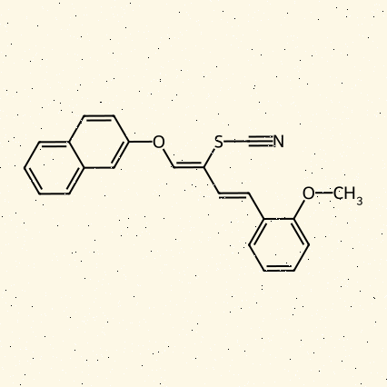 COc1ccccc1C=CC(=COc1ccc2ccccc2c1)SC#N